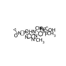 Cc1nc(N[C@H](C)c2cccc(C(F)(F)C(C)(C)O)c2F)c2cc(P3(=O)CCN(C(=O)C4CC4)CC3)ncc2n1